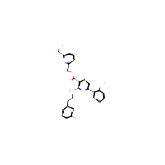 N#Cc1ccccc1-c1ccc(C(=O)NCc2cccc(CO)n2)c(NCCc2cccc(F)c2)n1